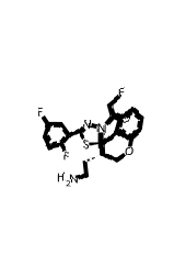 NCC[C@H]1COc2ccccc2[C@]12SC(c1cc(F)ccc1F)=NN2C(=O)CF